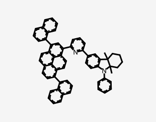 CC12CCCCC1(C)N(c1ccccc1)c1ccc(-c3cccc(-c4cc(-c5cccc6ccccc56)c5ccc6ccc(-c7cccc8ccccc78)c7ccc4c5c67)n3)cc12